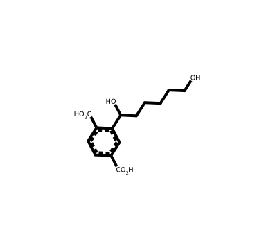 O=C(O)c1ccc(C(=O)O)c(C(O)CCCCCO)c1